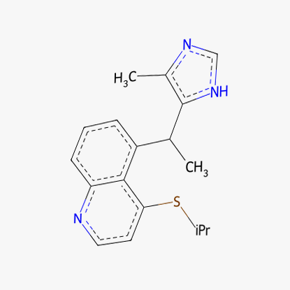 Cc1nc[nH]c1C(C)c1cccc2nccc(SC(C)C)c12